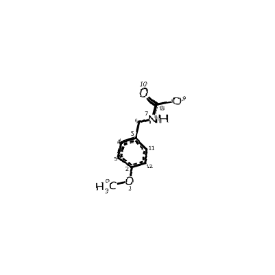 COc1ccc(CNC([O])=O)cc1